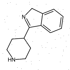 c1ccc2c(c1)CN=C2C1CCNCC1